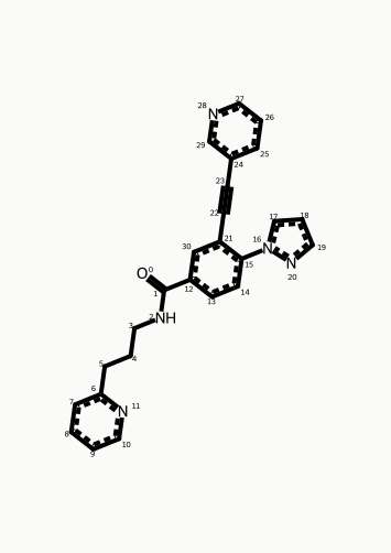 O=C(NCCCc1ccccn1)c1ccc(-n2cccn2)c(C#Cc2cccnc2)c1